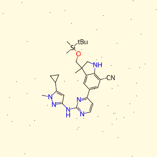 Cn1nc(Nc2nccc(-c3cc(C#N)c4c(c3)C(C)(CO[Si](C)(C)C(C)(C)C)CN4)n2)cc1C1CC1